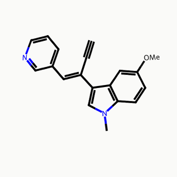 C#C/C(=C\c1cccnc1)c1cn(C)c2ccc(OC)cc12